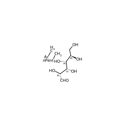 CC(C)=O.CCCCCC.O=C[C@H](O)[C@@H](O)[C@H](O)[C@H](O)CO